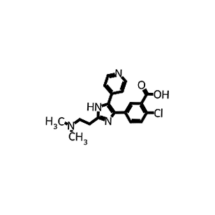 CN(C)CCc1nc(-c2ccc(Cl)c(C(=O)O)c2)c(-c2ccncc2)[nH]1